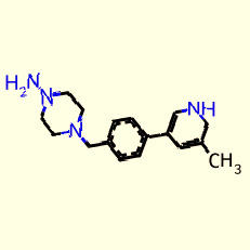 CC1=CC(c2ccc(CN3CCN(N)CC3)cc2)=CNC1